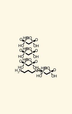 NCCCN.O=P(O)(O)CP(=O)(O)O.O=P(O)(O)CP(=O)(O)O.O=P(O)(O)CP(=O)(O)O.O=P(O)(O)CP(=O)(O)O